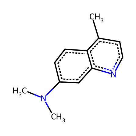 Cc1ccnc2cc(N(C)C)ccc12